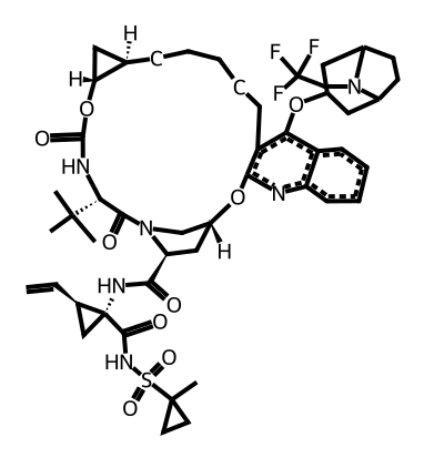 C=C[C@@H]1C[C@]1(NC(=O)[C@@H]1C[C@@H]2CN1C(=O)[C@H](C(C)(C)C)NC(=O)O[C@@H]1C[C@H]1CCCCCc1c(nc3ccccc3c1OC1CC3CCC(C1)N3CC(F)(F)F)O2)C(=O)NS(=O)(=O)C1(C)CC1